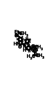 CCN(C)C(=O)c1ccc2c(c1)NC(=O)/C2=C(\Nc1ccc(N(CCN(C)C)S(C)(=O)=O)cc1)c1ccccc1